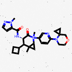 Cn1nccc1C(=O)N[C@@H]1C(=O)[N+](C)(c2ccc(N3CCOCC34CC4)nc2)C2CC2(C)C1C1CCC1